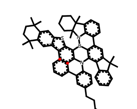 CCCCc1ccc(N2c3ccc4c(sc5cc6c(cc54)C(C)(C)CCC6(C)C)c3B3c4c(cc5c(c42)-c2ccccc2C5(C)C)-c2cccc4c2N3C2(C)CCCCC42C)c(-c2ccccc2)c1